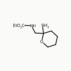 CCOC(=O)NCC1([SiH3])CCCCO1